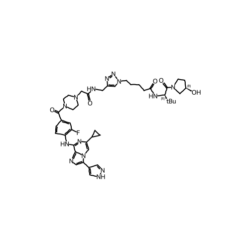 CC(C)(C)[C@@H](NC(=O)CCCCn1cc(CNC(=O)CN2CCN(C(=O)c3ccc(Nc4nc(C5CC5)cn5c(-c6cn[nH]c6)cnc45)c(F)c3)CC2)nn1)C(=O)N1CC[C@@H](O)C1